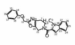 Cn1c(C(=O)N2CCc3nc(COc4ccccc4)oc3C2)cc2ccccc21